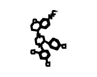 [C-]#[N+]c1ccc2c(c1)OCCC2N1CCN(c2ccc(Cl)cc2Cl)[C@H](c2ccc(Cl)cc2)C1